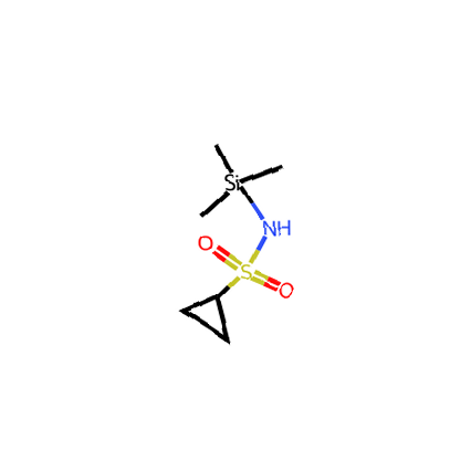 C[Si](C)(C)NS(=O)(=O)C1CC1